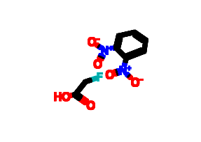 O=C(O)CF.O=[N+]([O-])c1ccccc1[N+](=O)[O-]